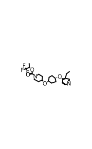 CCc1cnccc1O[C@H]1CC[C@H](OC2CCN(C(=O)OC(C)C(F)(F)F)CC2)CC1